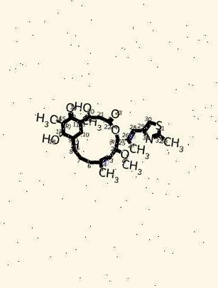 COC1/C=C(/C)CCC[C@@H]2C[C@](C)(C(=O)[C@H](C)[C@H]2O)[C@@H](O)CC(=O)O[C@@H]1/C(C)=C/c1csc(C)n1